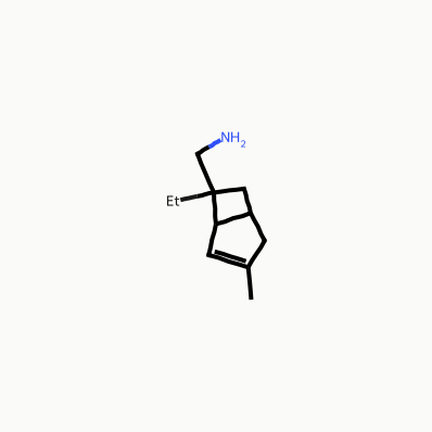 CCC1(CN)CC2CC(C)=CC21